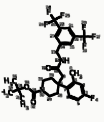 Cc1cc(F)ccc1C1(CC(=O)NCc2cc(C(F)(F)F)cc(C(F)(F)F)c2)CCN(C(=O)OC(C)(C)C)CC1